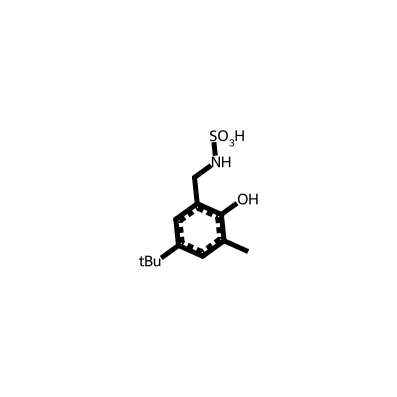 Cc1cc(C(C)(C)C)cc(CNS(=O)(=O)O)c1O